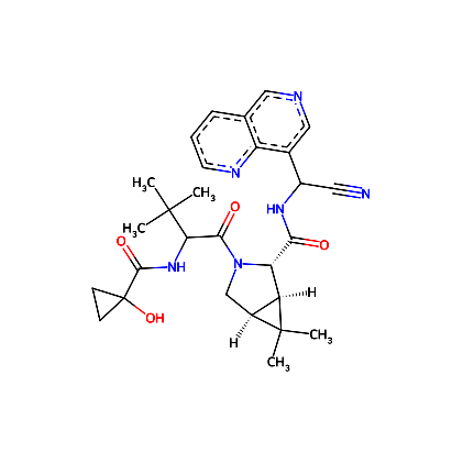 CC(C)(C)C(NC(=O)C1(O)CC1)C(=O)N1C[C@H]2[C@@H]([C@H]1C(=O)NC(C#N)c1cncc3cccnc13)C2(C)C